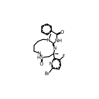 CN1CCCC/N=[SH](=O)/C[C@@](C)(c2nc(Br)ccc2F)/N=C\1NC(=O)c1ccccc1